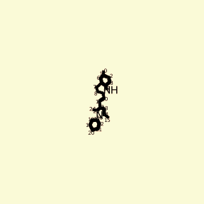 Cc1ccc2c(c1)CCC(/C=C/c1cc(C)n(-c3ccccc3)c1C)N2